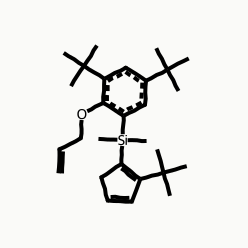 C=CCOc1c(C(C)(C)C)cc(C(C)(C)C)cc1[Si](C)(C)C1=C(C(C)(C)C)C=CC1